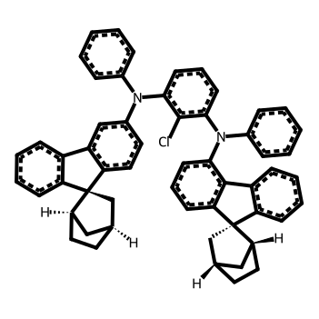 Clc1c(N(c2ccccc2)c2ccc3c(c2)-c2ccccc2[C@]32C[C@H]3CC[C@@H]2C3)cccc1N(c1ccccc1)c1cccc2c1-c1ccccc1[C@]21C[C@H]2CC[C@@H]1C2